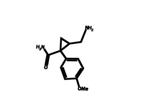 COc1ccc(C2(C(N)=O)CC2CN)cc1